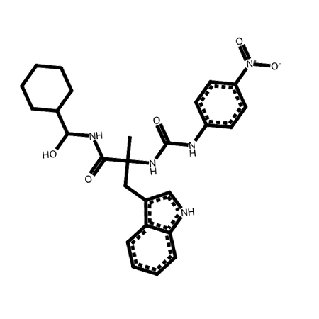 CC(Cc1c[nH]c2ccccc12)(NC(=O)Nc1ccc([N+](=O)[O-])cc1)C(=O)NC(O)C1CCCCC1